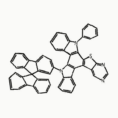 c1ccc(-n2c3ccccc3c3c2c2sc4ncncc4c2c2c4ccccc4n(-c4ccc5c(c4)C4(c6ccccc6-c6ccccc64)c4ccccc4-5)c23)cc1